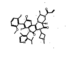 C=CC(=O)N1C[C@@H]2C(=O)N(C3CN(C)C3)c3c(c4cc(Cl)c(-c5c(F)cccc5OC)c(F)c4n(-c4c(C)ccnc4C(C)C)c3=O)N2C[C@H]1C